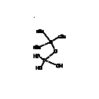 CCCC[Si](CCCC)(CCCC)[O][Ti]([OH])([OH])[OH]